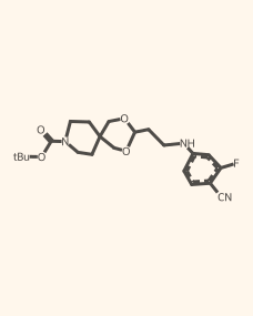 CC(C)(C)OC(=O)N1CCC2(CC1)COC(CCNc1ccc(C#N)c(F)c1)OC2